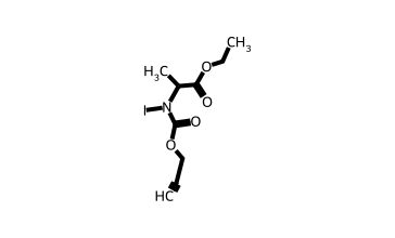 C#CCOC(=O)N(I)C(C)C(=O)OCC